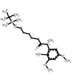 COc1cc(OC)c(C)c([C@@H](C)C(=O)CCCCCO[Si](C)(C)C(C)(C)C)c1